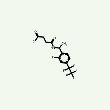 CC(NC(=O)CCC(=O)Cl)c1ccc(C(F)(F)C(F)(F)F)cc1F